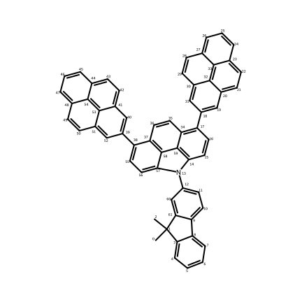 CC1(C)c2ccccc2-c2ccc(-n3c4ccc(-c5cc6ccc7cccc8ccc(c5)c6c78)c5ccc6c(-c7cc8ccc9cccc%10ccc(c7)c8c9%10)ccc3c6c54)cc21